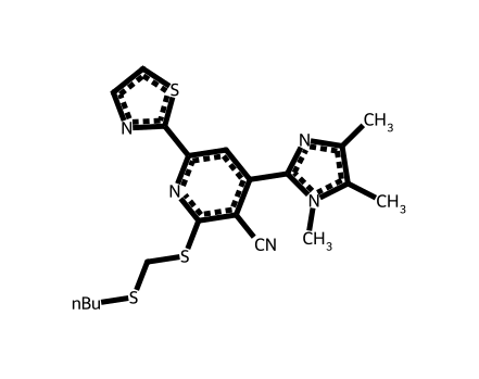 CCCCSCSc1nc(-c2nccs2)cc(-c2nc(C)c(C)n2C)c1C#N